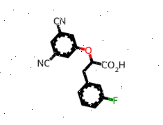 N#Cc1cc(C#N)cc(OC(Cc2cccc(F)c2)C(=O)O)c1